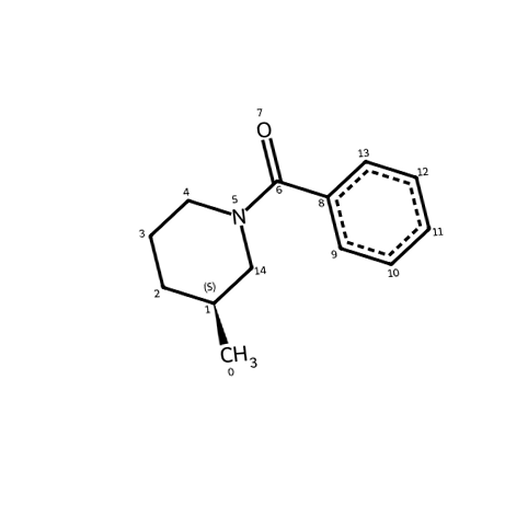 C[C@H]1CCCN(C(=O)c2ccccc2)C1